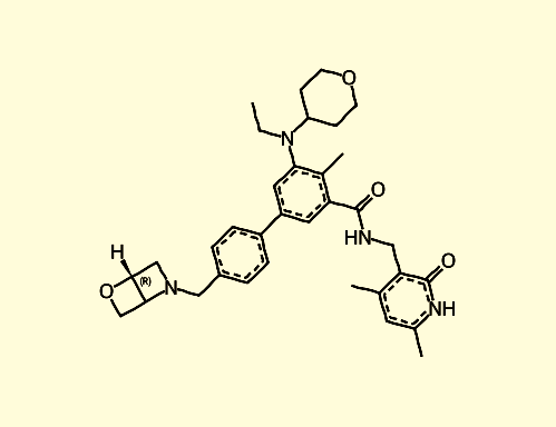 CCN(c1cc(-c2ccc(CN3C[C@H]4OCC43)cc2)cc(C(=O)NCc2c(C)cc(C)[nH]c2=O)c1C)C1CCOCC1